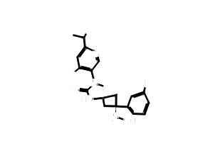 Cc1cc(C(F)F)ncc1N1C[C@]2(C[C@](c3cccc(F)c3)(N(C)C)C2)NC1=O